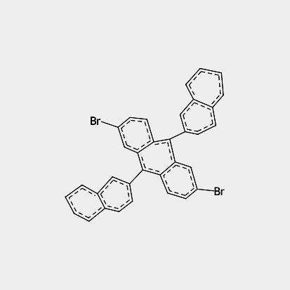 Brc1ccc2c(-c3ccc4ccccc4c3)c3cc(Br)ccc3c(-c3ccc4ccccc4c3)c2c1